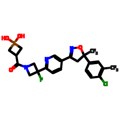 O=C(C1CS(O)(O)C1)N1CC(F)(c2ccc(C3=NOC(c4ccc(Cl)c(C(F)(F)F)c4)(C(F)(F)F)C3)cn2)C1